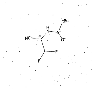 CC(C)(C)[S+]([O-])N[C@@H](C#N)C(F)F